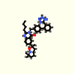 CCCCc1nc2ccc(C3(C)CC4CCC(C)(C)N4O3)cc2c(=O)n1Cc1ccc(-c2ccccc2-c2nnn[nH]2)cc1